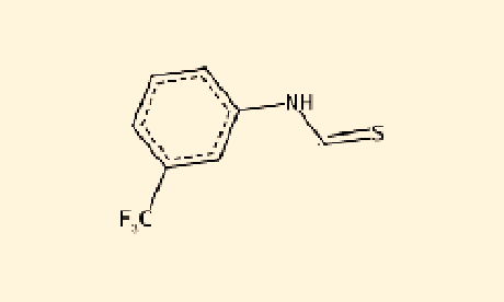 FC(F)(F)c1cccc(N[C]=S)c1